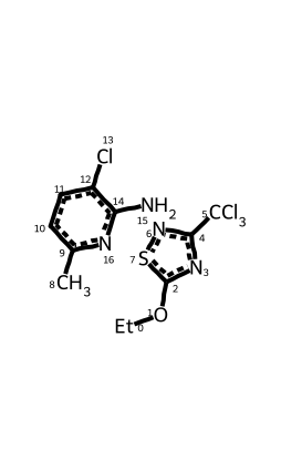 CCOc1nc(C(Cl)(Cl)Cl)ns1.Cc1ccc(Cl)c(N)n1